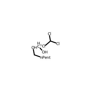 CCCCCCO.CO.ClC(Cl)Cl